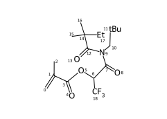 C=C(C)C(=O)OC(C(=O)N(CC(C)(C)C)C(=O)C(C)(C)CC)C(F)(F)F